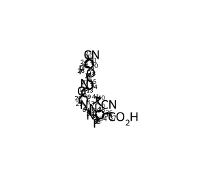 N#CCC1(Cn2c(CN3CCC(Oc4cccc(COc5ccc(C#N)cc5F)n4)CC3)nc3c(F)cc(CC(=O)O)cc32)CC1